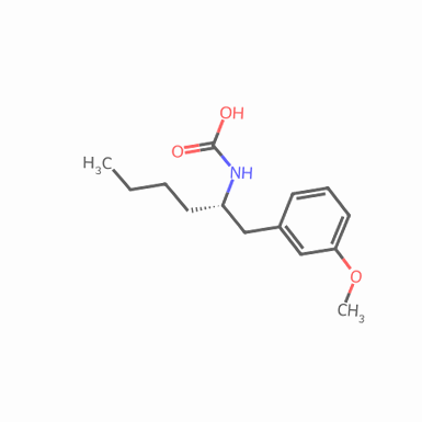 CCCC[C@@H](Cc1cccc(OC)c1)NC(=O)O